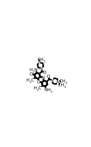 Cc1c2oc3c(C)c(N)cc(C(=O)N4CC[N+](C)(C)CC4)c3nc-2c(C(=O)N2CCN(C)CC2)c(N)c1=O